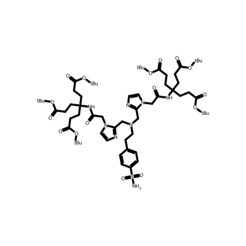 CC(C)(C)OC(=O)CCC(CCC(=O)OC(C)(C)C)(CCC(=O)OC(C)(C)C)NC(=O)Cn1ccnc1CN(CCc1ccc(S(N)(=O)=O)cc1)Cc1nccn1CC(=O)NC(CCC(=O)OC(C)(C)C)(CCC(=O)OC(C)(C)C)CCC(=O)OC(C)(C)C